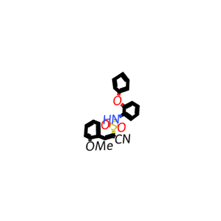 COc1ccccc1C=C(C#N)S(=O)(=O)Nc1ccccc1Oc1ccccc1